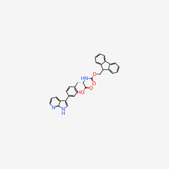 O=C(N[C@@H](Cc1ccc(-c2c[nH]c3ncccc23)cc1)C(=O)O)OCC1c2ccccc2-c2ccccc21